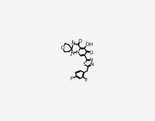 CN1C(=O)c2c(O)c(=O)c(-c3nnc(Cc4ccc(F)cc4F)s3)cn2N(C)C12CCOCC2